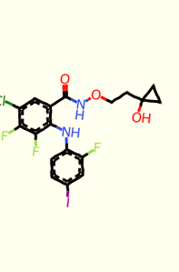 O=C(NOCCC1(O)CC1)c1cc(Cl)c(F)c(F)c1Nc1ccc(I)cc1F